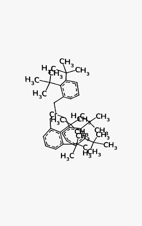 CC(C)(C)c1cccc([CH2][Cr]([CH2]c2cccc(C(C)(C)C)c2C(C)(C)C)[CH2]c2cccc(C(C)(C)C)c2C(C)(C)C)c1C(C)(C)C